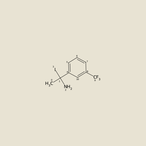 CC(N)(I)c1cccc(C(F)(F)F)c1